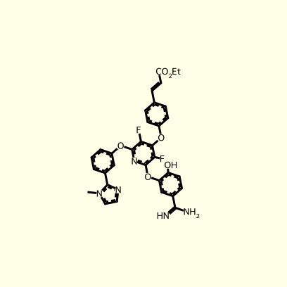 CCOC(=O)C=Cc1ccc(Oc2c(F)c(Oc3cccc(-c4nccn4C)c3)nc(Oc3cc(C(=N)N)ccc3O)c2F)cc1